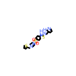 O=S(=O)(c1ccc(NC(=S)NCc2cccnc2)cc1)N1CCN(Cc2cccs2)CC1